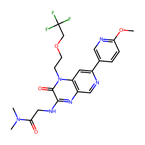 COc1ccc(-c2cc3c(cn2)nc(NCC(=O)N(C)C)c(=O)n3CCOCC(F)(F)F)cn1